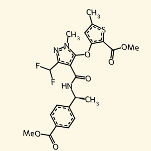 COC(=O)c1ccc([C@H](C)NC(=O)c2c(C(F)F)nn(C)c2Oc2cc(C)sc2C(=O)OC)cc1